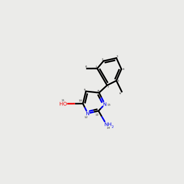 Cc1cccc(C)c1-c1cc(O)nc(N)n1